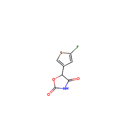 O=C1NC(=O)C(c2csc(F)c2)O1